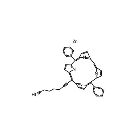 C#CCCCCC#CC1=C2C=CC(=N2)C(c2ccccc2)=C2C=CC(=N2)C=C2C=CC(=N2)C(c2ccccc2)=C2C=CC1=N2.[Zn]